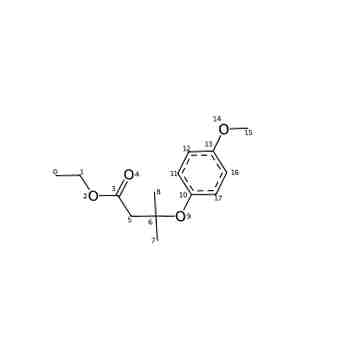 CCOC(=O)CC(C)(C)Oc1ccc(OC)cc1